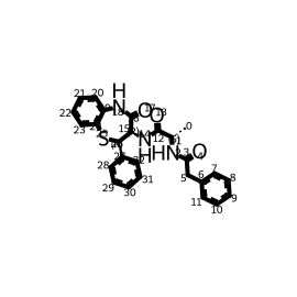 C[C@H](NC(=O)Cc1ccccc1)C(=O)N[C@@H]1C(=O)Nc2ccccc2S[C@@H]1c1ccccc1